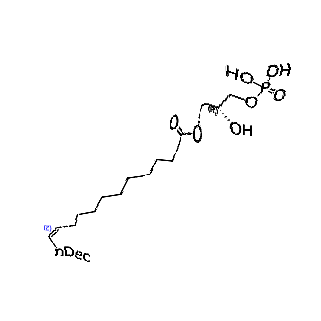 CCCCCCCCCC/C=C\CCCCCCCCCC(=O)OC[C@@H](O)COP(=O)(O)O